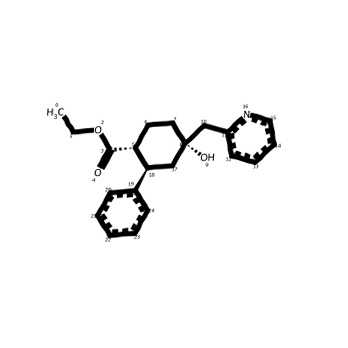 CCOC(=O)[C@@H]1CC[C@@](O)(Cc2ccccn2)C[C@H]1c1ccccc1